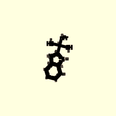 [CH2]CCC(S)(S)c1nc2ccccc2s1